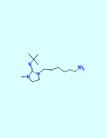 CN1CCN(CCCCCCN)C1=NC(C)(C)C